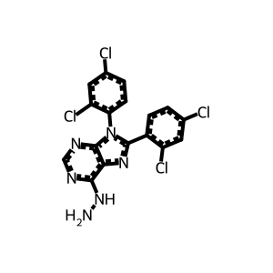 NNc1ncnc2c1nc(-c1ccc(Cl)cc1Cl)n2-c1ccc(Cl)cc1Cl